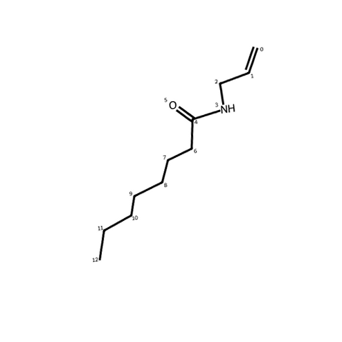 C=CCNC(=O)CCCCCCC